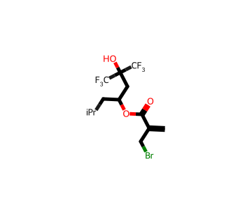 C=C(CBr)C(=O)OC(CC(C)C)CC(O)(C(F)(F)F)C(F)(F)F